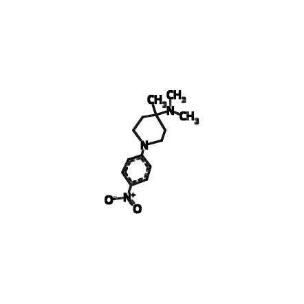 CN(C)C1(C)CCN(c2ccc([N+](=O)[O-])cc2)CC1